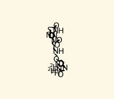 [2H]C([2H])([2H])n1c(=O)cnc2ccc(OCCNCC3CN(c4cnc5c(n4)NC(=O)CS5)C(=O)O3)nc21